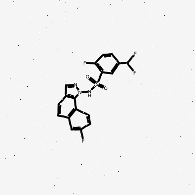 O=S(=O)(Nn1ncc2ccc3cc(F)ccc3c21)c1cc(C(F)F)ccc1F